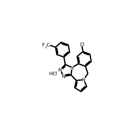 Cl.FC(F)(F)c1cccc(-c2nnc3n2-c2cc(Cl)ccc2Cn2cccc2-3)c1